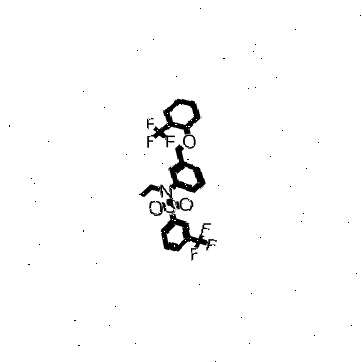 CCN(c1cccc(COC2CCCCC2C(F)(F)F)c1)S(=O)(=O)c1cccc(C(F)(F)F)c1